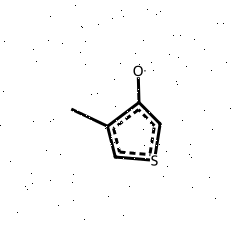 Cc1cscc1[O]